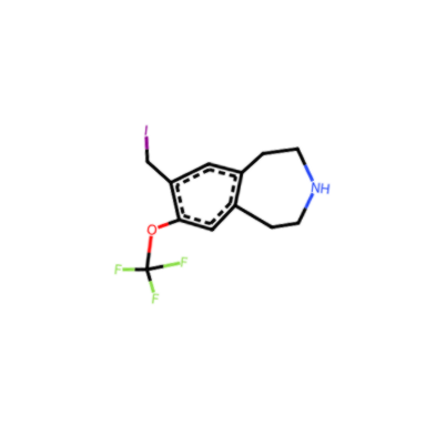 FC(F)(F)Oc1cc2c(cc1CI)CCNCC2